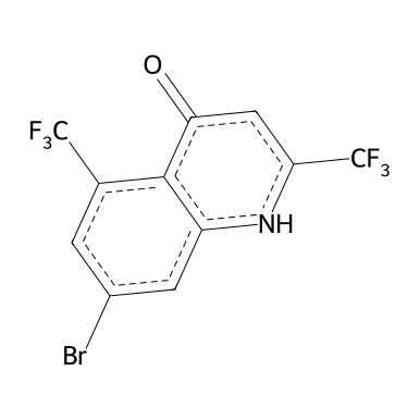 O=c1cc(C(F)(F)F)[nH]c2cc(Br)cc(C(F)(F)F)c12